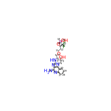 CC(C)(O)Cn1c(NCCOCCCC(F)(F)P(C)(=O)O)nc2c(N)nc3ccccc3c21